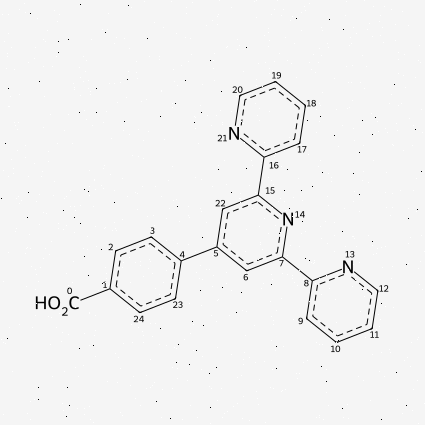 O=C(O)c1ccc(-c2cc(-c3ccccn3)nc(-c3ccccn3)c2)cc1